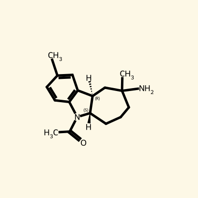 CC(=O)N1c2ccc(C)cc2[C@H]2CC(C)(N)CCC[C@@H]21